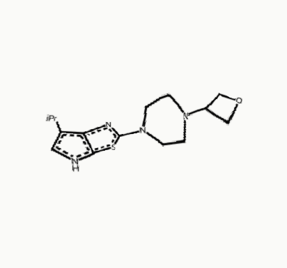 CC(C)c1c[nH]c2sc(N3CCN(C4COC4)CC3)nc12